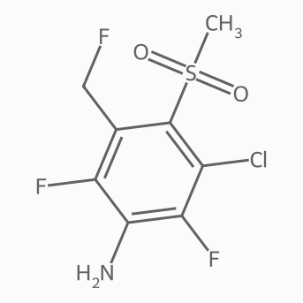 CS(=O)(=O)c1c(Cl)c(F)c(N)c(F)c1CF